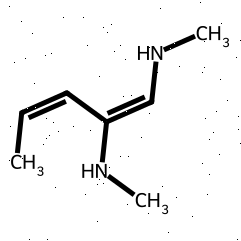 C/C=C\C(=C/NC)NC